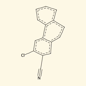 N#Cc1cc2ccc3ccccc3c2cc1Cl